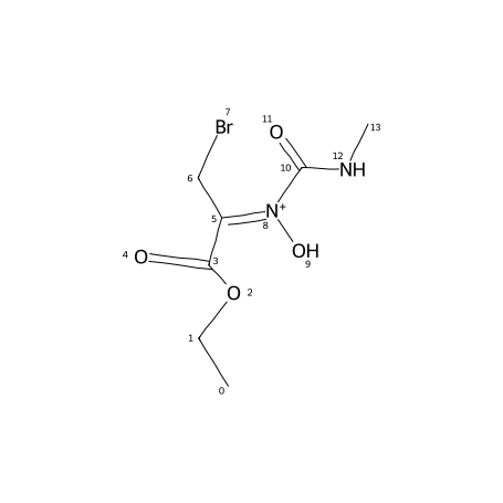 CCOC(=O)C(CBr)=[N+](O)C(=O)NC